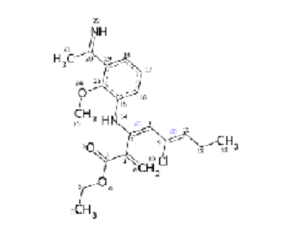 C=C(C(=O)OCC)/C(=C\C(Cl)=C\CC)Nc1cccc(C(C)=N)c1OC